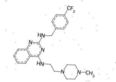 CN1CCN(CCNc2nc(NCc3ccc(C(F)(F)F)cc3)nc3ccccc23)CC1